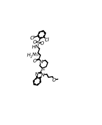 COCCCn1c([C@@H]2CCCN(C(=O)C[C@H](N)CNS(=O)(=O)c3c(Cl)cccc3Cl)C2)nc2ccccc21